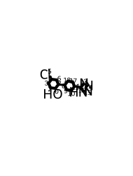 Oc1ccc(Cl)cc1-c1ccc(-c2nnn[nH]2)cc1